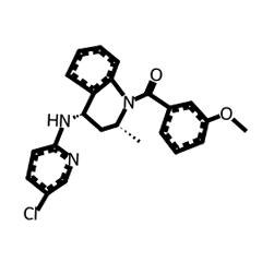 COc1cccc(C(=O)N2c3ccccc3[C@@H](Nc3ccc(Cl)cn3)C[C@H]2C)c1